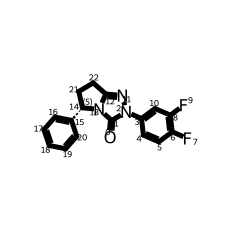 O=c1n(-c2ccc(F)c(F)c2)nc2n1[C@H](c1ccccc1)CC2